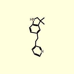 CC1(C)CNc2ccc(CCc3cccnc3)cc21